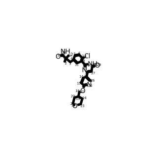 CC(C)(Cc1ccc(Cl)c(-c2nc(-c3ccc(OCC4CCOCC4)nc3)cc(=O)[nH]2)c1)C(N)=O